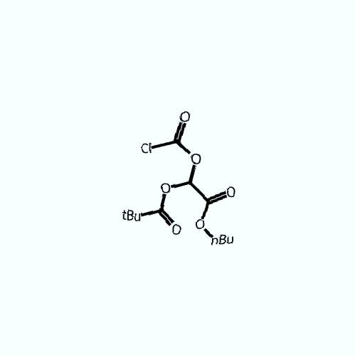 CCCCOC(=O)C(OC(=O)Cl)OC(=O)C(C)(C)C